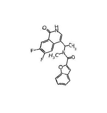 CC(c1c[nH]c(=O)c2cc(F)c(F)cc12)N(C)C(=O)c1cc2ccccc2o1